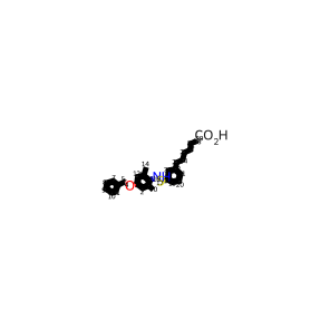 Cc1cc(OCc2ccccc2)cc(C)c1NSc1cccc(CCCCCCC(=O)O)c1